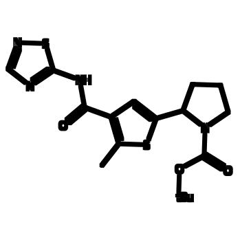 Cc1sc(C2CCCN2C(=O)OC(C)(C)C)cc1C(=O)Nc1ncns1